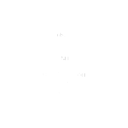 CCCCCNC(=O)C1(O)CC1